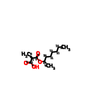 C=C(C(=O)O)C(=O)OC(C)CCCCCC